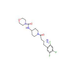 N[C@@H](CC(=O)N1CCC(NC(=O)N2CCOCC2)CC1)Cc1cc(F)c(F)cc1F